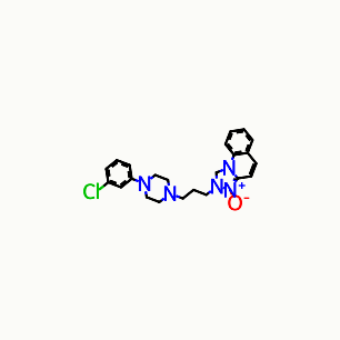 [O-][N+]1=C2C=Cc3ccccc3N2CN1CCCN1CCN(c2cccc(Cl)c2)CC1